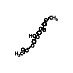 C=CCOc1ccc(C(=O)OC2=CC=C(OC(O)c3ccc(OCCCOC(=O)C=C)cc3)CC2)cc1